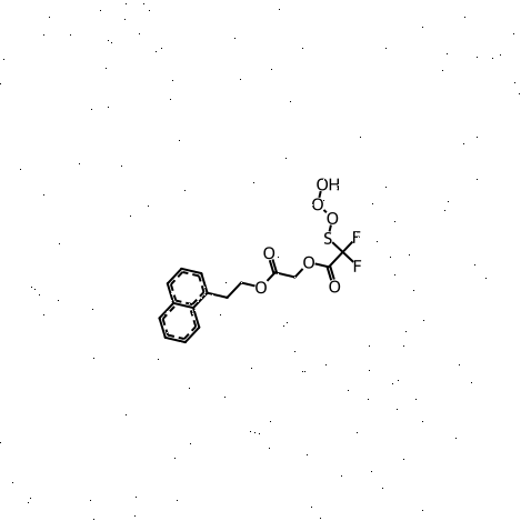 O=C(COC(=O)C(F)(F)SOOO)OCCc1cccc2ccccc12